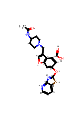 CC(=O)NC1CCN(Cc2coc3cc(Oc4nc5ncccc5s4)ccc23)CC1.O=CO